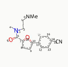 CNCCN(C)C(=O)c1ccc(-c2ccc(C#N)cc2)o1